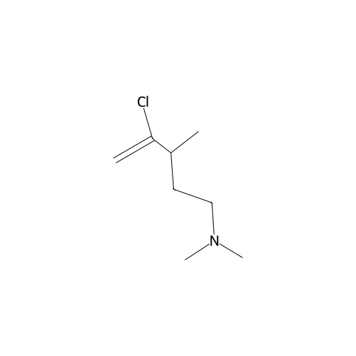 C=C(Cl)C(C)CCN(C)C